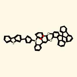 C1=C2C(=CCC1)C1(c3ccccc32)c2ccccc2-c2c1ccc1c2Oc2cc(-c3ccccc3N(c3ccccc3)c3ccc(-c4ccc5c(c4)sc4ccccc45)cc3)ccc2O1